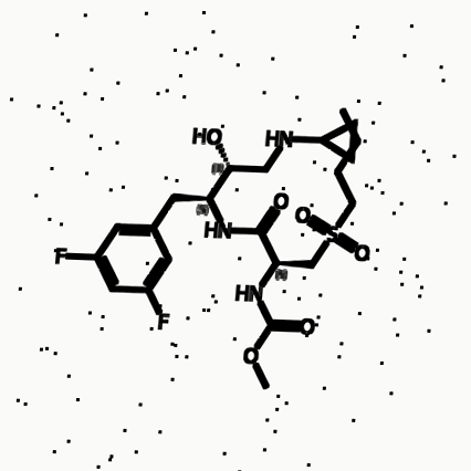 CCCCS(=O)(=O)C[C@@H](NC(=O)OC)C(=O)N[C@@H](Cc1cc(F)cc(F)c1)[C@H](O)CNC1CC1